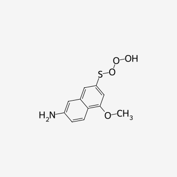 COc1cc(SOOO)cc2cc(N)ccc12